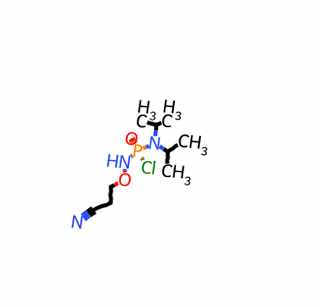 CC(C)N(C(C)C)P(=O)(Cl)NOCCC#N